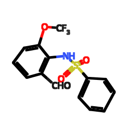 O=Cc1cccc(OC(F)(F)F)c1NS(=O)(=O)c1ccccc1